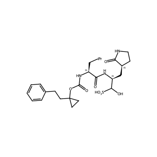 CC(C)C[C@H](NC(=O)OC1(CCc2ccccc2)CC1)C(=O)N[C@@H](C[C@@H]1CCNC1=O)C(O)S(=O)(=O)O